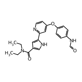 CCN(CC)C(=O)c1c[nH]c(-c2cc(Oc3ccc(NC=O)cc3)ccn2)c1